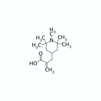 C=C(CC1CC(C)(C)N(C)C(C)(C)C1)C(=O)O